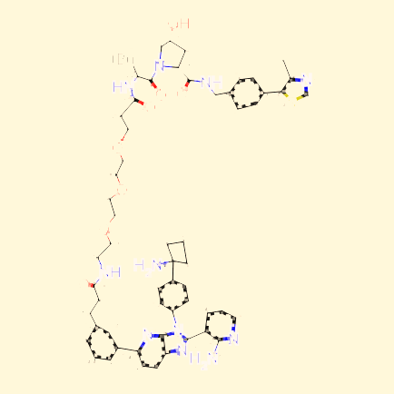 Cc1ncsc1-c1ccc(CNC(=O)[C@@H]2C[C@@H](O)CN2C(=O)C(NC(=O)CCOCCOCCOCCNC(=O)CCc2cccc(-c3ccc4nc(-c5cccnc5N)n(-c5ccc(C6(N)CCC6)cc5)c4n3)c2)C(C)(C)C)cc1